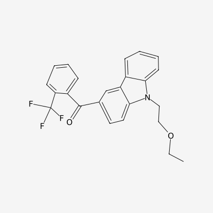 CCOCCn1c2ccccc2c2cc(C(=O)c3ccccc3C(F)(F)F)ccc21